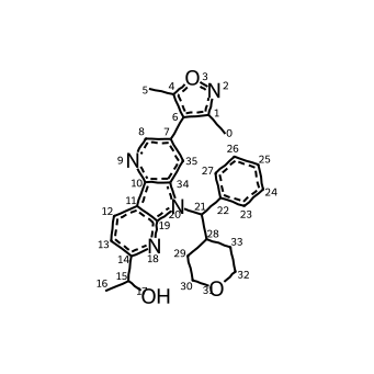 Cc1noc(C)c1-c1cnc2c3ccc(C(C)O)nc3n(C(c3ccccc3)C3CCOCC3)c2c1